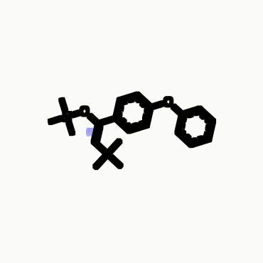 CC(C)(C)/C=C(/O[Si](C)(C)C)c1ccc(Oc2ccccc2)cc1